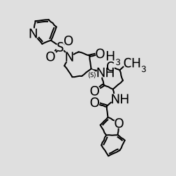 CC(C)CC(NC(=O)c1cc2ccccc2o1)C(=O)N[C@H]1CCCN(S(=O)(=O)c2cccnc2)CC1=O